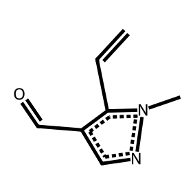 C=Cc1c(C=O)cnn1C